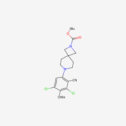 COc1c(Cl)cc(N2CCC3(CC2)CN(C(=O)OC(C)(C)C)C3)c(C#N)c1Cl